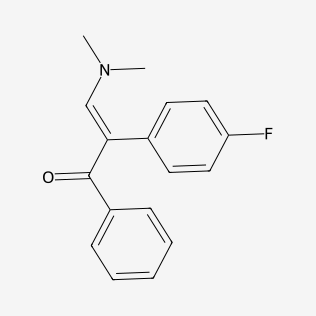 CN(C)/C=C(/C(=O)c1ccccc1)c1ccc(F)cc1